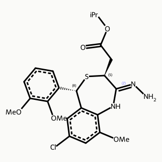 COc1cc(Cl)cc2c1N/C(=N\N)[C@H](CC(=O)OC(C)C)S[C@H]2c1cccc(OC)c1OC